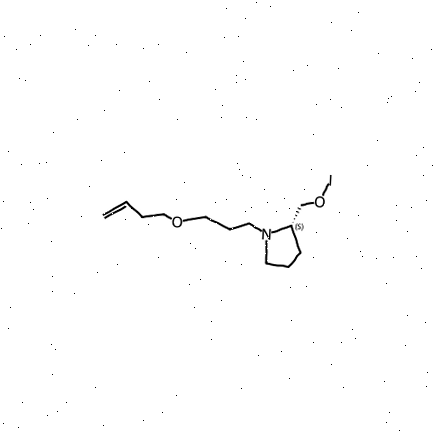 C=CCCOCCCN1CCC[C@H]1COI